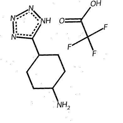 NC1CCC(c2nnn[nH]2)CC1.O=C(O)C(F)(F)F